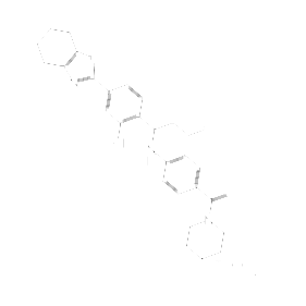 Cc1cc(-c2nc3c(o2)CCCC3)ccc1C(CCC(F)(F)F)Nc1ccc(C(=O)N2CCC[C@@H](C(=O)O)C2)cc1